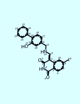 O=C1NC(=O)c2ccc(I)cc2/C1=C/NCc1ccc(-c2ccccc2)c(O)c1